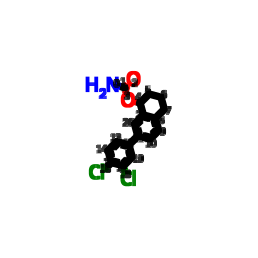 NC(=O)OC1CCCc2ccc(-c3ccc(Cl)c(Cl)c3)cc21